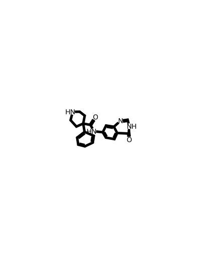 O=C(Nc1ccc2c(=O)[nH]cnc2c1)C1(c2ccccc2)CCNCC1